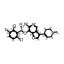 C[C@@H](Oc1c(N)ncc2c(C3=CCN(C)CC3)coc12)c1c(Cl)ccc(F)c1Cl